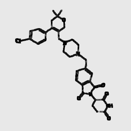 CC1(C)CC(c2ccc(Cl)cc2)=C(CN2CCN(Cc3ccc4c(c3)C(=O)N(C3CCC(=O)NC3=O)C4=O)CC2)CO1